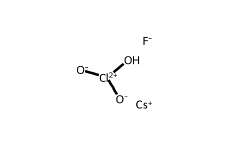 [Cs+].[F-].[O-][Cl+2]([O-])O